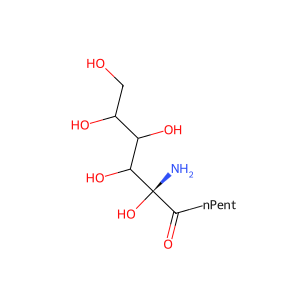 CCCCCC(=O)[C@](N)(O)C(O)C(O)C(O)CO